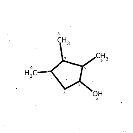 CC1CC(O)C(C)C1C